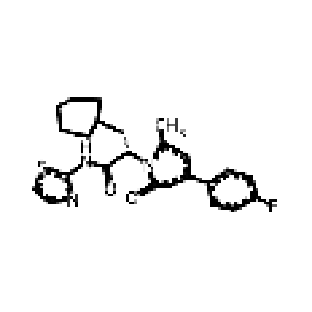 Cc1cc(-c2ccc(F)cc2)cc(=O)n1[C@@H](CC1CCCCC1)C(=O)Nc1nccs1